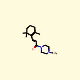 CCCN1CCN(C(=O)C=CC2=C(C)CCCC2(C)C)CC1